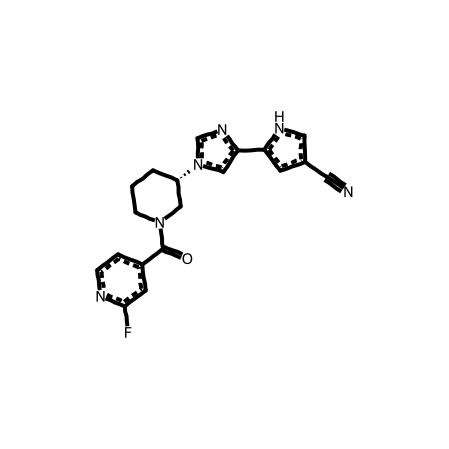 N#Cc1c[nH]c(-c2cn([C@H]3CCCN(C(=O)c4ccnc(F)c4)C3)cn2)c1